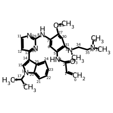 C=CC(=O)Nc1cc(Nc2nccc(-c3cn(C(C)C)c4ccccc34)n2)c(OC)cc1N(C)CCN(C)C